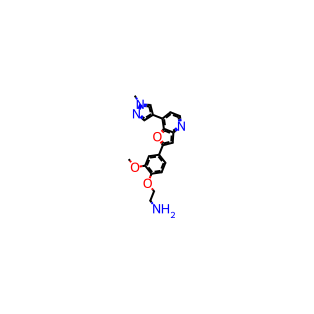 COc1cc(-c2cc3nccc(-c4cnn(C)c4)c3o2)ccc1OCCN